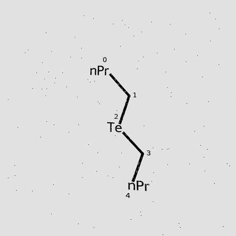 CCCC[Te]CCCC